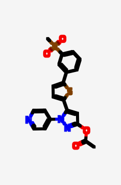 CC(=O)Oc1cc(-c2ccc(-c3cccc(S(C)(=O)=O)c3)s2)n(-c2ccncc2)n1